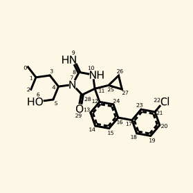 CC(C)CC(CO)N1C(=N)NC(c2cccc(-c3cccc(Cl)c3)c2)(C2CC2)C1=O